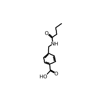 CCCC(=O)NCc1ccc(C(=O)O)cc1